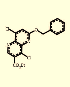 CCOC(=O)c1cnc2c(Cl)cc(OCc3ccccc3)nc2c1Cl